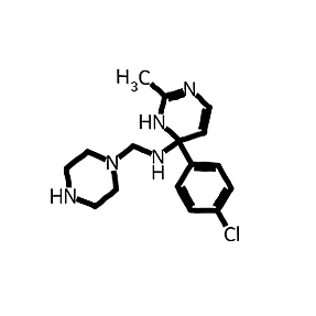 CC1=NC=CC(NCN2CCNCC2)(c2ccc(Cl)cc2)N1